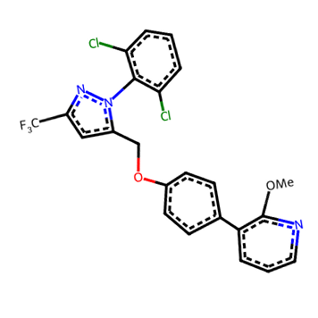 COc1ncccc1-c1ccc(OCc2cc(C(F)(F)F)nn2-c2c(Cl)cccc2Cl)cc1